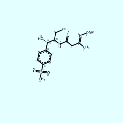 CON=C(C)CC(=O)N[C@H](CF)[C@@H](O)c1ccc(S(C)(=O)=O)cc1